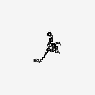 CCOC(=O)CCCCCOC[C@@]1(F)C[C@@H](C(=O)NC(C)c2cc(C(=N)N)cs2)N(C(=O)CNC(=O)c2ccc(Oc3ccccc3)cc2)C1